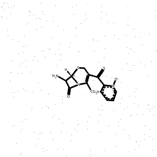 NC1C(=O)N2C(C(=O)O)=C(C(=S)c3cccc[n+]3[O-])CS[C@@H]12